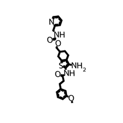 COc1cccc(CCC(=O)Nc2sc3c(c2N)CCC(COC(=O)NCc2ccccn2)C3)c1